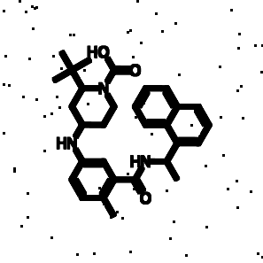 Cc1ccc(NC2CCN(C(=O)O)C(C(C)(C)C)C2)cc1C(=O)NC(C)c1cccc2ccccc12